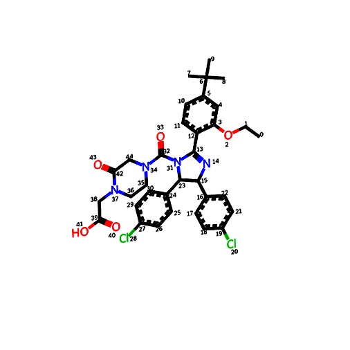 CCOc1cc(C(C)(C)C)ccc1C1=NC(c2ccc(Cl)cc2)C(c2ccc(Cl)cc2)N1C(=O)N1CCN(CC(=O)O)C(=O)C1